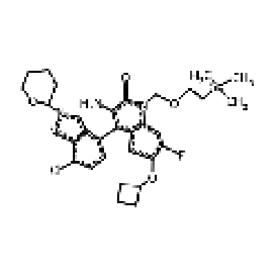 C[Si](C)(C)CCOCn1c(=O)c(N)c(-c2ccc(Cl)c3nn(C4CCCCO4)cc23)c2cc(OC3CCC3)c(F)cc21